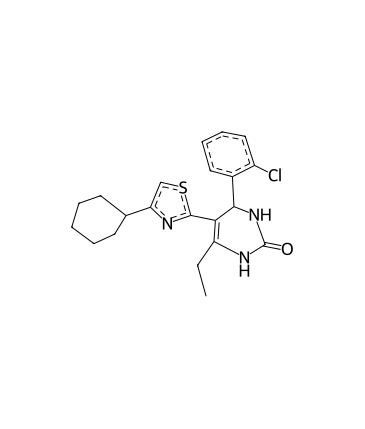 CCC1=C(c2nc(C3CCCCC3)cs2)C(c2ccccc2Cl)NC(=O)N1